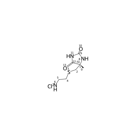 C[C@]1(CSCCNCl)NC(=O)NC1=O